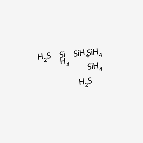 S.S.[SiH4].[SiH4].[SiH4].[SiH4]